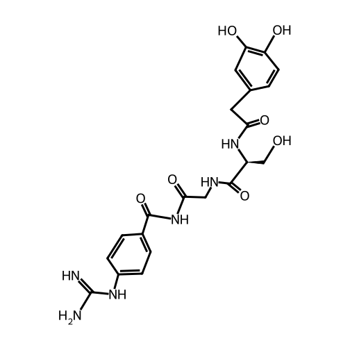 N=C(N)Nc1ccc(C(=O)NC(=O)CNC(=O)[C@H](CO)NC(=O)Cc2ccc(O)c(O)c2)cc1